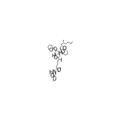 CCCC[C@H](C)C[C@H](/C=C/[C@@H]1[C@H]2CC(C(I)CCCC(=O)NCC(=O)OC)O[C@@H]2C[C@H]1OC1CCCCO1)OC1CCCCO1